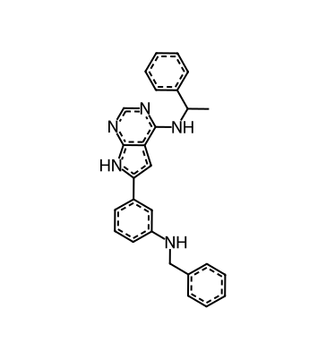 CC(Nc1ncnc2[nH]c(-c3cccc(NCc4ccccc4)c3)cc12)c1ccccc1